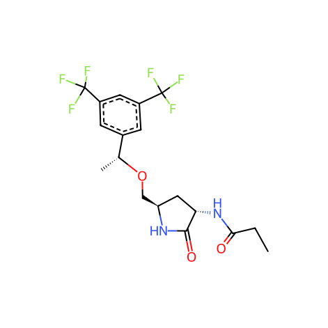 CCC(=O)N[C@H]1C[C@H](CO[C@H](C)c2cc(C(F)(F)F)cc(C(F)(F)F)c2)NC1=O